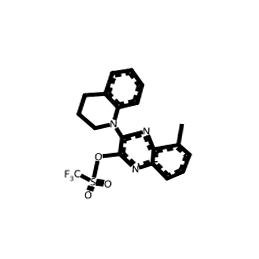 Cc1cccc2nc(OS(=O)(=O)C(F)(F)F)c(N3CCCc4ccccc43)nc12